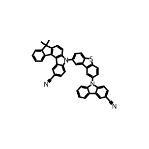 CC1(C)c2ccccc2-c2c1ccc1c2c2cc(C#N)ccc2n1-c1ccc2sc3ccc(-n4c5ccccc5c5cc(C#N)ccc54)cc3c2c1